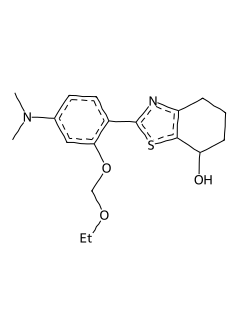 CCOCOc1cc(N(C)C)ccc1-c1nc2c(s1)C(O)CCC2